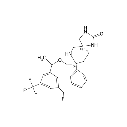 CC(OC[C@@]1(c2ccccc2)CC[C@@]2(CNC(=O)N2)CN1)c1cc(CF)cc(C(F)(F)F)c1